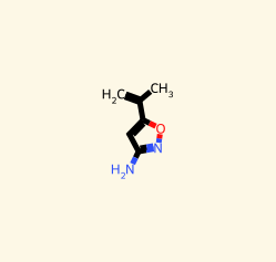 C=C(C)c1cc(N)no1